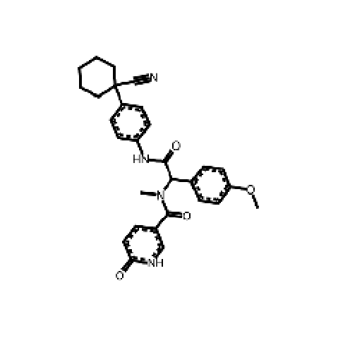 COc1ccc(C(C(=O)Nc2ccc(C3(C#N)CCCCC3)cc2)N(C)C(=O)c2ccc(=O)[nH]c2)cc1